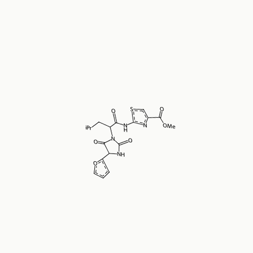 COC(=O)c1csc(NC(=O)C(CC(C)C)N2C(=O)NC(c3ccco3)C2=O)n1